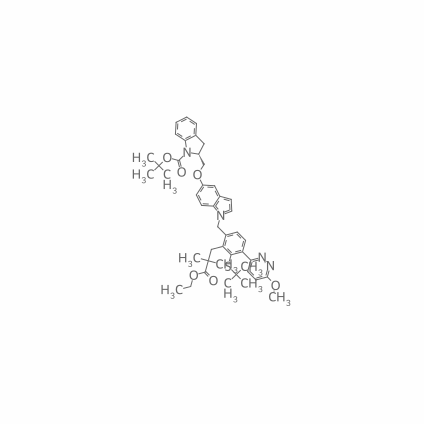 CCOC(=O)C(C)(C)Cc1c(Cn2ccc3cc(OC[C@@H]4Cc5ccccc5N4C(=O)OC(C)(C)C)ccc32)ccc(-c2ccc(OC)nn2)c1SC(C)(C)C